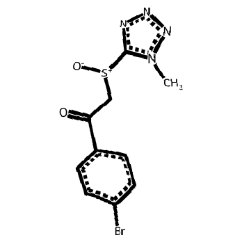 Cn1nnnc1[S+]([O-])CC(=O)c1ccc(Br)cc1